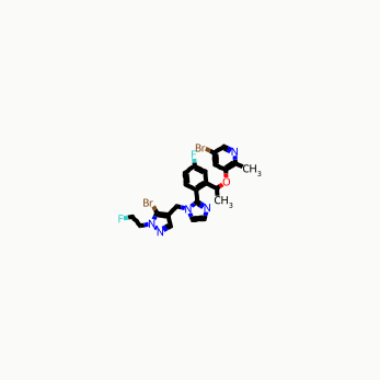 Cc1ncc(Br)cc1OC(C)c1cc(F)ccc1-c1nccn1Cc1cnn(CCF)c1Br